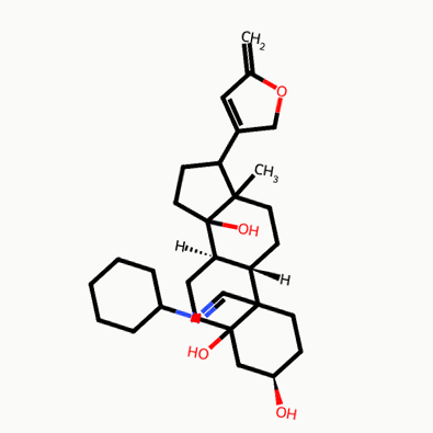 C=C1C=C(C2CCC3(O)[C@@H]4CCC5(O)C[C@H](O)CCC5(/C=N/C5CCCCC5)[C@H]4CCC23C)CO1